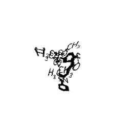 CCOP(=O)(OCC)C(c1ccc(F)c(C(=O)CCc2nc(-c3ccccc3)sc2C)c1)P(=O)(OCC)OCC